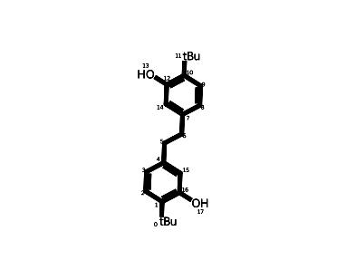 CC(C)(C)c1ccc(CCc2ccc(C(C)(C)C)c(O)c2)cc1O